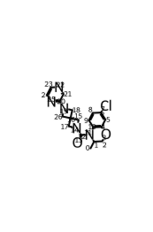 CC1COc2cc(Cl)ccc2N1C(=O)N1CC2(C1)CN(c1cnccn1)C2